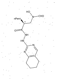 CCCCC[C@@H](CN(O)C=O)C(=O)NNc1ncc2c(n1)CCCC2